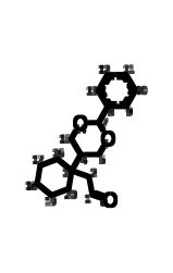 O=CCC1(C2COC(c3ccccc3)OC2)CCCCC1